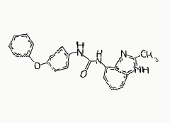 Cc1nc2c(NC(=O)Nc3ccc(Oc4ccccc4)cc3)cccc2[nH]1